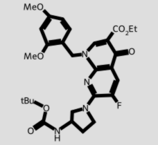 CCOC(=O)c1cn(Cc2ccc(OC)cc2OC)c2nc(N3CCC(NC(=O)OC(C)(C)C)C3)c(F)cc2c1=O